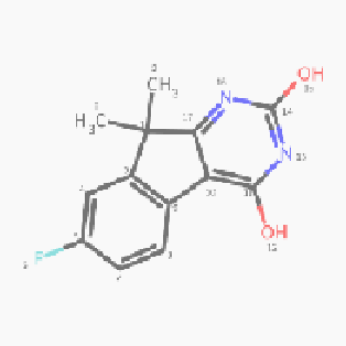 CC1(C)c2cc(F)ccc2-c2c(O)nc(O)nc21